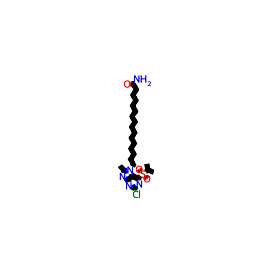 Cc1nc2nc(Cl)nc(S(=O)(=O)C(C)C)c2n1CCCCCCCCCCCCCCCC(N)=O